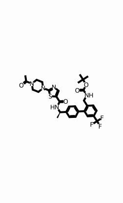 CC(=O)N1CCN(c2ncc(C(=O)N[C@H](C)c3ccc(-c4cc(C(F)(F)F)ccc4CNC(=O)OC(C)(C)C)cc3)s2)CC1